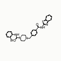 O=C(Nc1nc2ccccc2s1)c1ccc(CN2CCN(C(=O)Nc3ccccc3Br)CC2)cc1